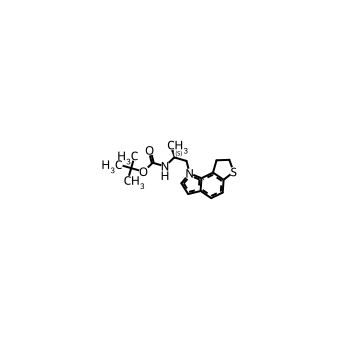 C[C@@H](Cn1ccc2ccc3c(c21)CCS3)NC(=O)OC(C)(C)C